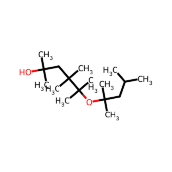 CC(C)CC(C)(C)OC(C)(C)C(C)(C)CC(C)(C)O